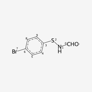 O=[C]NSc1ccc(Br)cc1